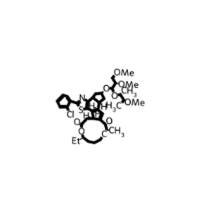 CC[C@H]1CCCC[C@@H](C)C(=O)C2=C[C@@H]3[C@@H](c4sc(-c5ccccc5Cl)nc4C4C[C@@H](OC(OC(C)[C@@H](C)OC)[C@H](COC)OC)C[C@H]43)[C@@H]2CC(=O)O1